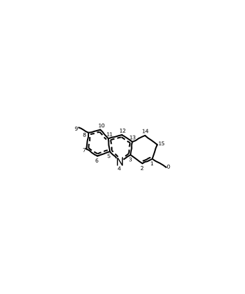 CC1=Cc2nc3ccc(C)cc3cc2CC1